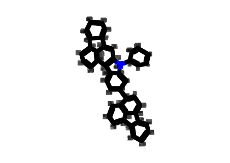 c1ccc(-n2c3cc(-c4ccc5c6c(cccc46)-c4ccccc4-5)ccc3c3c4cccc5c4c(cc32)-c2ccccc2-5)cc1